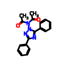 CC(=O)N(C(C)=O)n1nc(-c2ccccc2)nc1-c1ccccc1